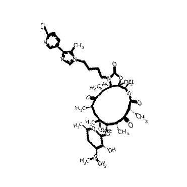 CC[C@H]1OC(=O)[C@H](C)C(=O)[C@H](C)[C@@H](OC2O[C@H](C)C[C@H](N(C)C)[C@H]2O)[C@@](C)(OC)C[C@@H](C)C(=O)[C@H](C)[C@H]2N(CCCCn3cnc(-c4ccc(Cl)nc4)c3C)C(=O)O[C@]12C